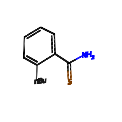 CCCCc1ccccc1C(N)=S